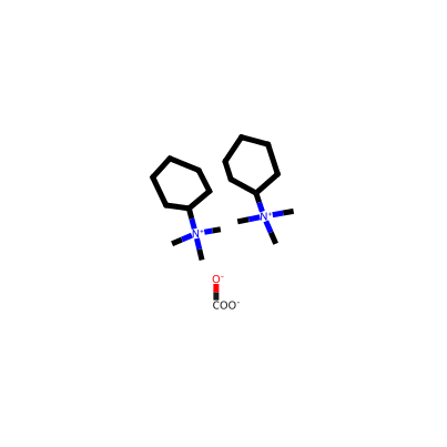 C[N+](C)(C)C1CCCCC1.C[N+](C)(C)C1CCCCC1.O=C([O-])[O-]